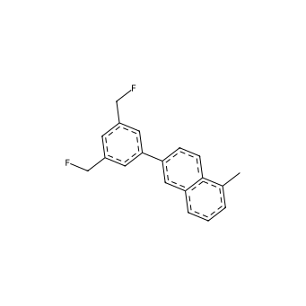 Cc1cccc2cc(-c3cc(CF)cc(CF)c3)ccc12